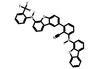 N#Cc1c(-c2ccc3sc4c(N(I)c5ccccc5C(F)(F)F)cccc4c3c2)cccc1N(I)c1cccc2c1sc1ccccc12